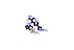 Cn1cc(-c2cc3c(NC4CN(S(C)(=O)=O)CC45CCC5)c(C(N)=O)cnn3c2)cn1